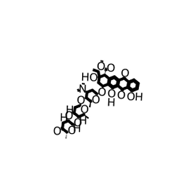 CC[C@@]1(O)C[C@H](O[C@H]2C[C@H](N(C)C)[C@H](O[C@H]3C[C@@H]4O[C@H]5CC(=O)[C@@H](C)O[C@H]5O[C@@H]4[C@H](C)O3)[C@H](C)O2)c2c(cc3c(c2O)C(=O)c2c(O)cccc2C3=O)[C@H]1C(=O)OC